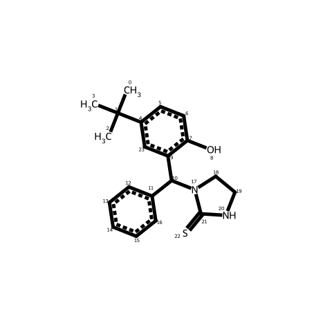 CC(C)(C)c1ccc(O)c(C(c2ccccc2)N2CCNC2=S)c1